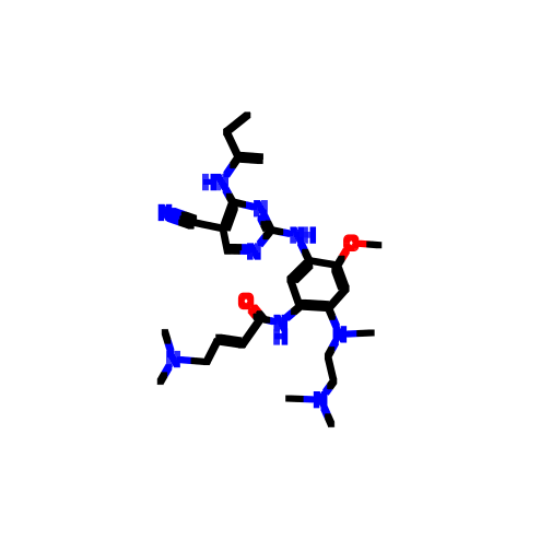 C=C(CC)Nc1nc(Nc2cc(NC(=O)/C=C/CN(C)C)c(N(C)CCN(C)C)cc2OC)ncc1C#N